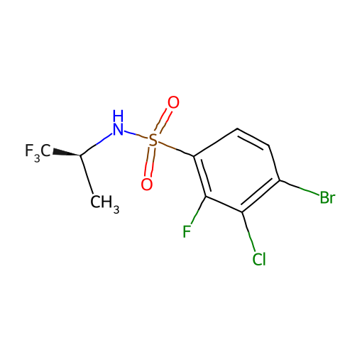 C[C@H](NS(=O)(=O)c1ccc(Br)c(Cl)c1F)C(F)(F)F